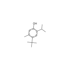 Cc1cc(O)c(C(C)C)cc1C(C)(C)C